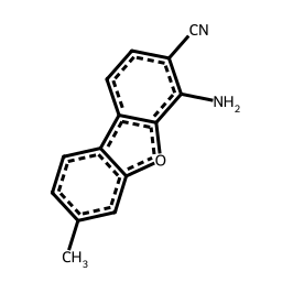 Cc1ccc2c(c1)oc1c(N)c(C#N)ccc12